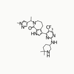 CC(c1cnn(C)c1)N1CCCc2c(-c3nc(NC4CCC(C)(C)NC4)ncc3C(F)(F)F)c[nH]c2C1=O